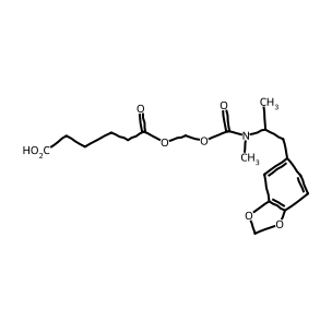 CC(Cc1ccc2c(c1)OCO2)N(C)C(=O)OCOC(=O)CCCCC(=O)O